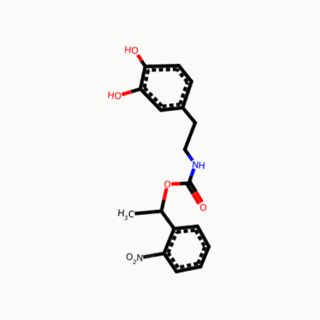 CC(OC(=O)NCCc1ccc(O)c(O)c1)c1ccccc1[N+](=O)[O-]